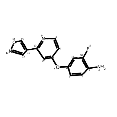 Nc1ccc(Oc2ccnc(-c3cnoc3)c2)cc1F